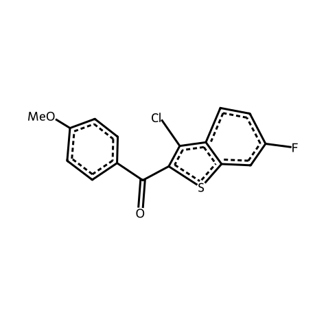 COc1ccc(C(=O)c2sc3cc(F)ccc3c2Cl)cc1